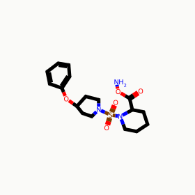 NOC(=O)C1CCCCN1S(=O)(=O)N1CCC(Oc2ccccc2)CC1